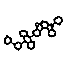 c1ccc(-c2cccc(-c3c4ccccc4c(-c4ccc5c(c4)oc4ccc6c(c7ccccc7n6-c6ccccc6)c45)c4ccccc34)c2)cc1